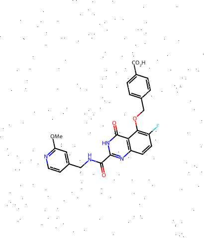 COc1cc(CNC(=O)c2nc3ccc(F)c(OCc4ccc(C(=O)O)cc4)c3c(=O)[nH]2)ccn1